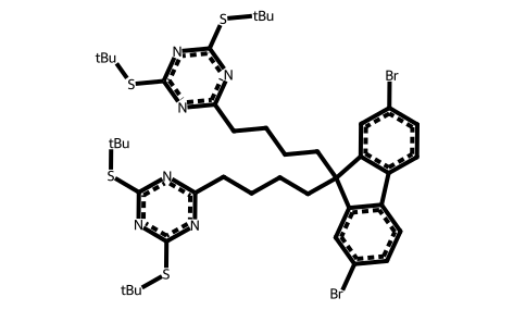 CC(C)(C)Sc1nc(CCCCC2(CCCCc3nc(SC(C)(C)C)nc(SC(C)(C)C)n3)c3cc(Br)ccc3-c3ccc(Br)cc32)nc(SC(C)(C)C)n1